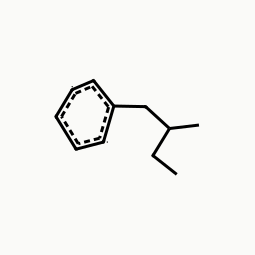 CCC(C)Cc1[c]cc[c]c1